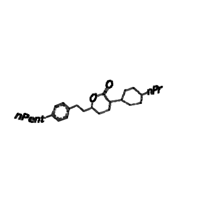 CCCCCc1ccc(CCC2CCC(C3CCC(CCC)CC3)C(=O)O2)cc1